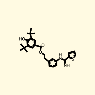 CC(C)(C)c1cc(C(=O)OCCc2cccc(NC(=N)c3cccs3)c2)cc(C(C)(C)C)c1O